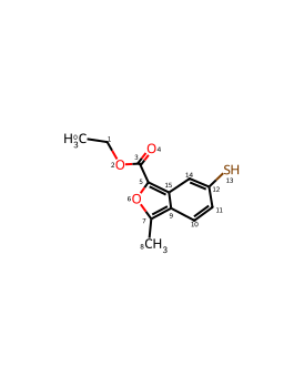 CCOC(=O)c1oc(C)c2ccc(S)cc12